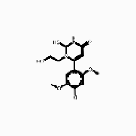 COc1cc(C2=CC(=O)NC(S)N2CCO)c(OC)cc1Cl